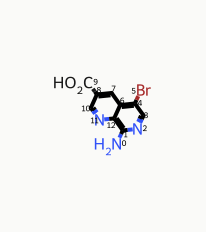 Nc1ncc(Br)c2cc(C(=O)O)cnc12